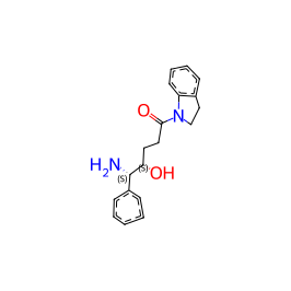 N[C@@H](c1ccccc1)[C@@H](O)CCC(=O)N1CCc2ccccc21